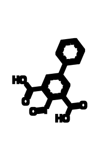 O=Ic1c(C(=O)O)cc(-c2ccccc2)cc1C(=O)O